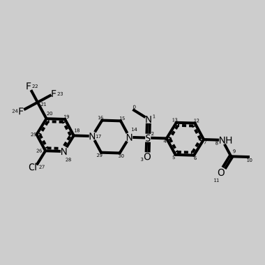 CN=S(=O)(c1ccc(NC(C)=O)cc1)N1CCN(c2cc(C(F)(F)F)cc(Cl)n2)CC1